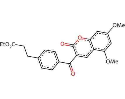 CCOC(=O)CCc1ccc(C(=O)c2cc3c(OC)cc(OC)cc3oc2=O)cc1